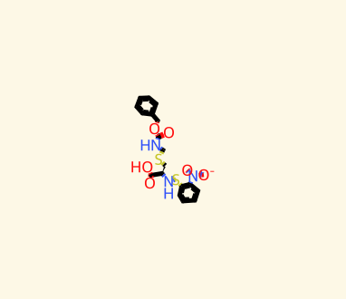 O=C(NCSC[C@H](NSc1ccccc1[N+](=O)[O-])C(=O)O)OCc1ccccc1